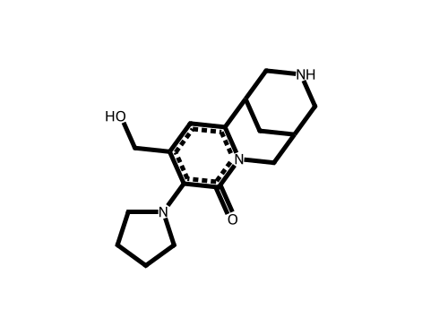 O=c1c(N2CCCC2)c(CO)cc2n1CC1CNCC2C1